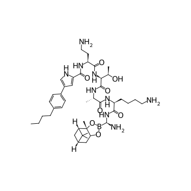 CCCCc1ccc(-c2c[nH]c(C(=O)N[C@@H](CCN)C(=O)N[C@H](C(=O)N[C@@H](C)C(=O)N[C@@H](CCCCN)C(=O)N[C@@H](N)B3OC4C[C@@H]5C[C@@H](C5(C)C)[C@]4(C)O3)[C@@H](C)O)c2)cc1